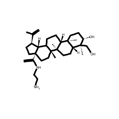 C=C(C)[C@@H]1CC[C@]2(C(=C)NCCN)CC[C@]3(C)C(CC[C@@H]4[C@@]5(C)CC[C@H](O)[C@@](C)(CO)[C@@H]5CC[C@]43C)[C@@H]12